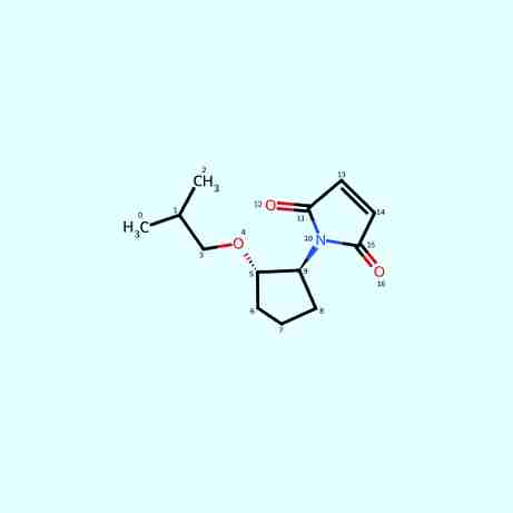 CC(C)CO[C@H]1CCC[C@@H]1N1C(=O)C=CC1=O